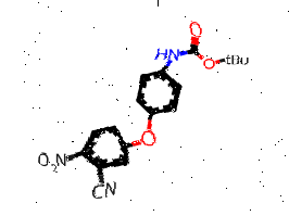 CC(C)(C)OC(=O)Nc1ccc(Oc2ccc([N+](=O)[O-])c(C#N)c2)cc1